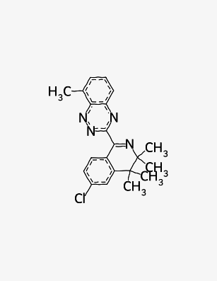 Cc1cccc2nc(C3=NC(C)(C)C(C)(C)c4cc(Cl)ccc43)nnc12